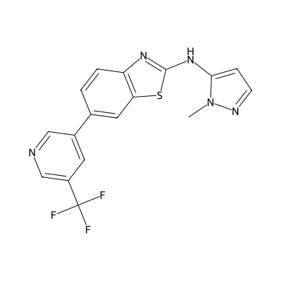 Cn1nccc1Nc1nc2ccc(-c3cncc(C(F)(F)F)c3)cc2s1